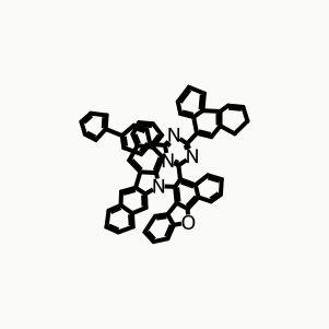 C1=Cc2c(cc(-c3nc(-c4ccc(-c5ccccc5)cc4)nc(-c4c(-n5c6cc7ccccc7cc6c6cc7ccccc7cc65)c5c6ccccc6oc5c5ccccc45)n3)c3ccccc23)CC1